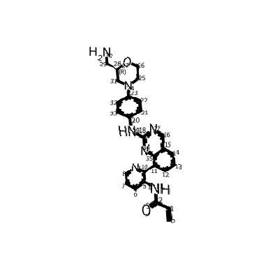 C=CC(=O)Nc1cccnc1-c1cccc2cnc(Nc3ccc(N4CCO[C@H](CN)C4)cc3)nc12